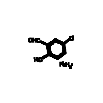 O=Cc1cc(Cl)ccc1O.[PbH2]